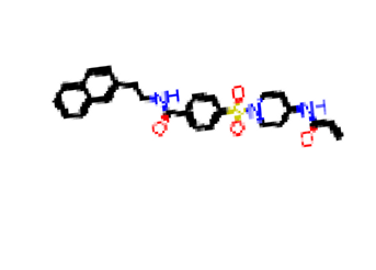 C=CC(=O)NC1CCN(S(=O)(=O)c2ccc(C(=O)NCCc3ccc4ccccc4c3)cc2)CC1